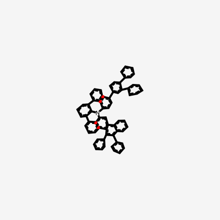 c1ccc(-c2ccc(-c3ccc(N(c4ccc5c(-c6ccccc6)c(-c6ccccc6)c6ccccc6c5c4)c4c(-c5ccccc5)cccc4-c4ccccc4)cc3)cc2-c2ccccc2)cc1